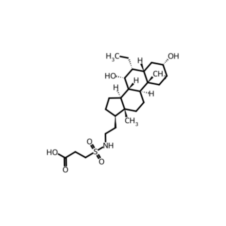 CC[C@H]1[C@@H](O)[C@@H]2[C@H](CC[C@]3(C)[C@@H](CCNS(=O)(=O)CCC(=O)O)CC[C@@H]23)[C@@]2(C)CC[C@@H](O)C[C@@H]12